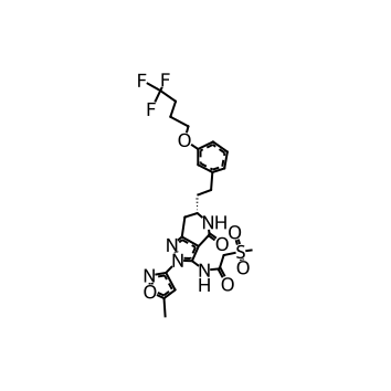 Cc1cc(-n2nc3c(c2NC(=O)CS(C)(=O)=O)C(=O)N[C@@H](CCc2cccc(OCCCC(F)(F)F)c2)C3)no1